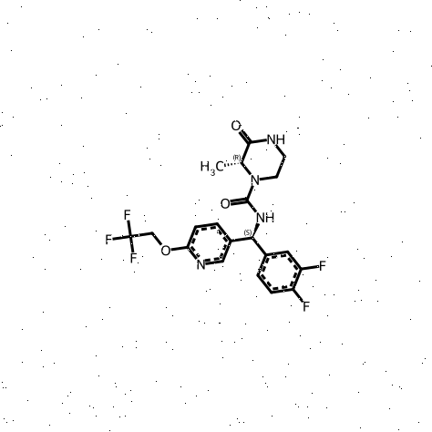 C[C@@H]1C(=O)NCCN1C(=O)N[C@H](c1ccc(OCC(F)(F)F)nc1)c1ccc(F)c(F)c1